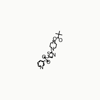 CC(C)(C)C(=O)ON1CCN(c2ncc(S(=O)(=O)c3cccnc3)s2)CC1